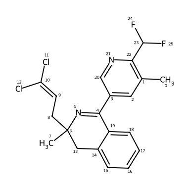 Cc1cc(C2=NC(C)(CC=C(Cl)Cl)Cc3ccccc32)cnc1C(F)F